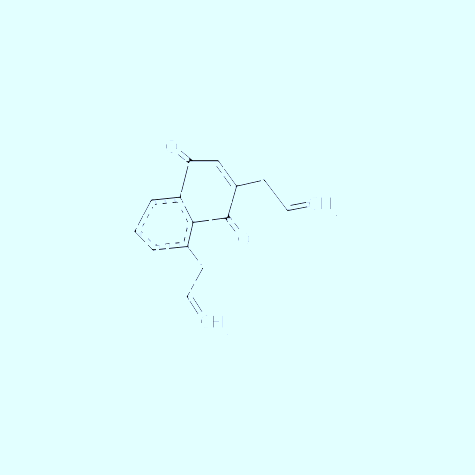 C=CCC1=[C]C(=O)c2cccc(CC=C)c2C1=O